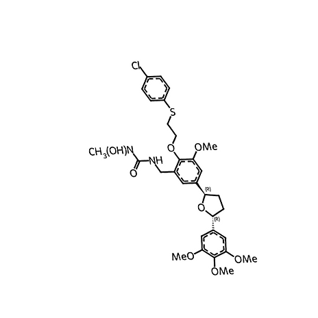 COc1cc([C@H]2CC[C@H](c3cc(OC)c(OC)c(OC)c3)O2)cc(CNC(=O)N(C)O)c1OCCSc1ccc(Cl)cc1